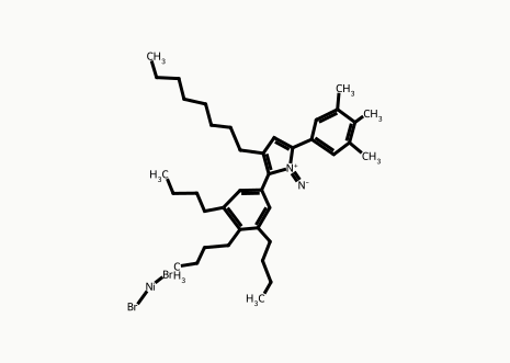 CCCCCCCCC1=C(c2cc(CCCC)c(CCCC)c(CCCC)c2)[N+](=[N-])C(c2cc(C)c(C)c(C)c2)=C1.[Br][Ni][Br]